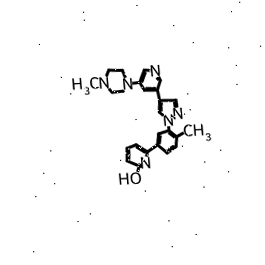 Cc1ccc(-c2cccc(O)n2)cc1-n1cc(-c2cncc(N3CCN(C)CC3)c2)cn1